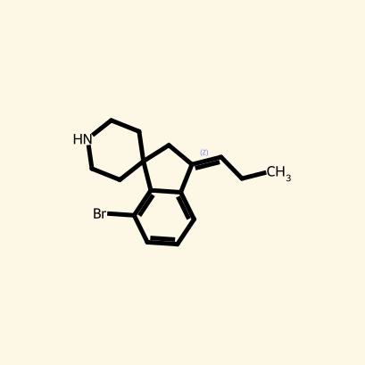 CC/C=C1/CC2(CCNCC2)c2c(Br)cccc21